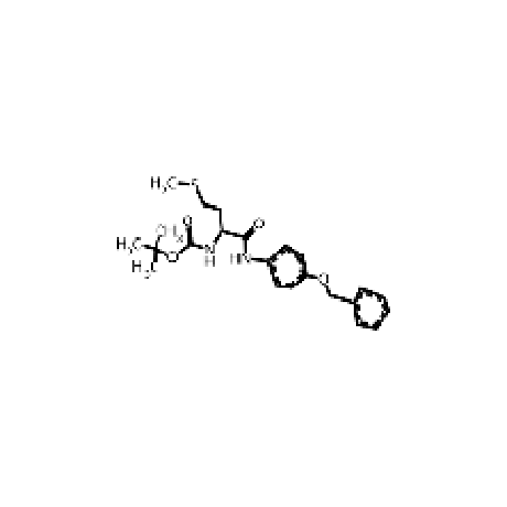 CSCCC(NC(=O)OC(C)(C)C)C(=O)Nc1ccc(OCc2ccccc2)cc1